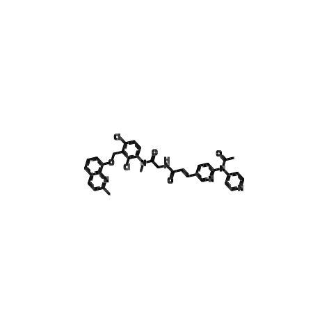 CC(=O)N(c1ccncc1)c1ccc(C=CC(=O)NCC(=O)N(C)c2ccc(Cl)c(COc3cccc4ccc(C)nc34)c2Cl)cn1